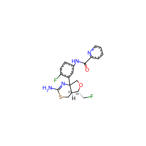 NC1=NC2(c3cc(NC(=O)c4ccccn4)ccc3F)CO[C@H](CF)[C@H]2CS1